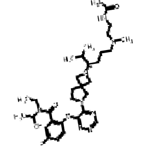 CCN(C(=O)c1cc(F)ccc1Oc1nncnc1N1CCC2(C1)CN([C@H](CCCN(C)CCNC(C)=O)C(C)C)C2)C(C)C